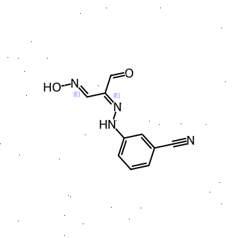 N#Cc1cccc(N/N=C(C=O)\C=N\O)c1